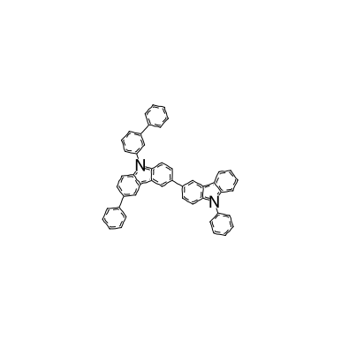 c1ccc(-c2cccc(-n3c4ccc(-c5ccccc5)cc4c4cc(-c5ccc6c(c5)c5ccccc5n6-c5ccccc5)ccc43)c2)cc1